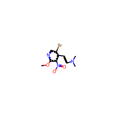 COc1ncc(Br)c(/C=C/N(C)C)c1[N+](=O)[O-]